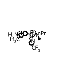 CCCN(C(=O)CN(Cc1ccc(C(F)(F)F)cn1)C(=O)c1ccc2nc(N)c(C)cc2c1)C1CC1